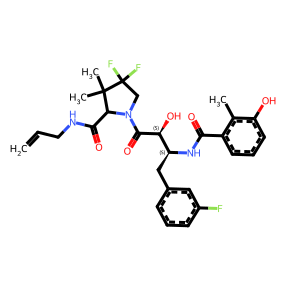 C=CCNC(=O)C1N(C(=O)[C@@H](O)[C@H](Cc2cccc(F)c2)NC(=O)c2cccc(O)c2C)CC(F)(F)C1(C)C